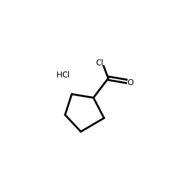 Cl.O=C(Cl)C1CCCC1